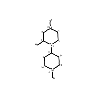 CC1CN(C)CCN1C1CCN(C)CC1